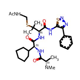 CN[C@@H](C)C(=O)N[C@H](C(=O)N[C@H](C(=O)Nc1snnc1-c1ccccc1)C(C)(C)SCNC(C)=O)C1CCCCC1